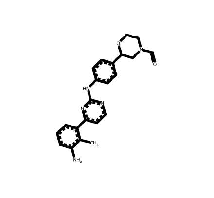 Cc1c(N)cccc1-c1ccnc(Nc2ccc(C3CN(C=O)CCO3)cc2)n1